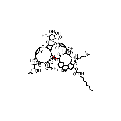 CCCCCCCCNC(=O)Oc1cc(O)c2c(c1)[C@@H](C(=O)NCCCN(C)C)NC(=O)[C@H]1NC(=O)[C@H](NC(=O)[C@@H]3NC(=O)[C@H](CC(N)=O)NC(=O)[C@H](NC(=O)[C@@H](CC(C)C)NC)[C@H](O)c4ccc(c(Cl)c4)Oc4cc3cc(c4O[C@@H]3O[C@H](CO)[C@@H](O)[C@H](O)[C@H]3O)Oc3ccc(cc3Cl)[C@H]1O)c1ccc(O)c-2c1